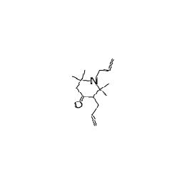 C=CCC1C(=O)CC(C)(C)N(CC=C)C1(C)C